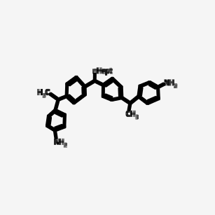 CCCCCCCC(c1ccc(C(C)c2ccc(N)cc2)cc1)c1ccc(C(C)c2ccc(N)cc2)cc1